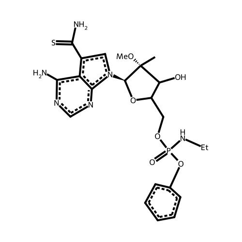 CCNP(=O)(OCC1O[C@@H](n2cc(C(N)=S)c3c(N)ncnc32)[C@](C)(OC)C1O)Oc1ccccc1